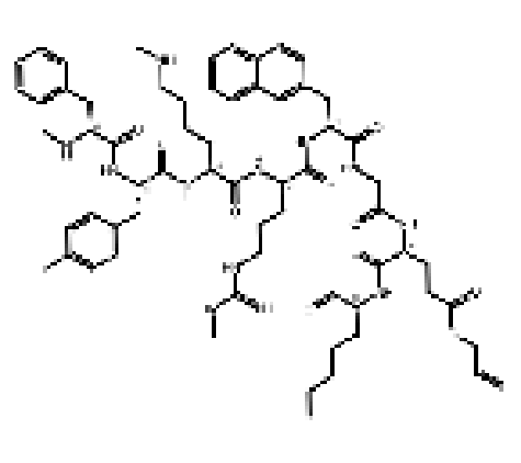 C=CCOC(=O)CC[C@H](NC(=O)CNC(=O)[C@H](Cc1ccc2ccccc2c1)NC(=O)[C@@H](CCCNC(=N)NC)NC(=O)[C@H](CCCCNC)NC(=O)[C@H](Cc1ccc(C)cc1)NC(=O)[C@H](Cc1ccccc1)NC)C(=O)N[C@H](C=O)CCCCC